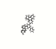 c1ccc(-c2cc(-c3ccc4c5ccccc5c5ccccc5c4c3)cc(-c3cccc4c3sc3ccccc34)c2)cc1